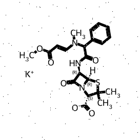 COC(=O)C=CN(C)C(C(=O)N[C@@H]1C(=O)N2[C@@H]1SC(C)(C)[C@@H]2C(=O)[O-])c1ccccc1.[K+]